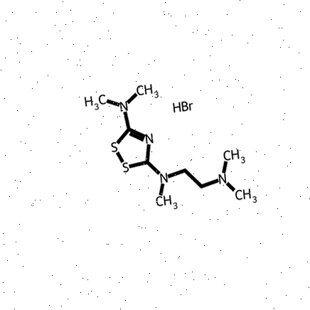 Br.CN(C)CCN(C)C1N=C(N(C)C)SS1